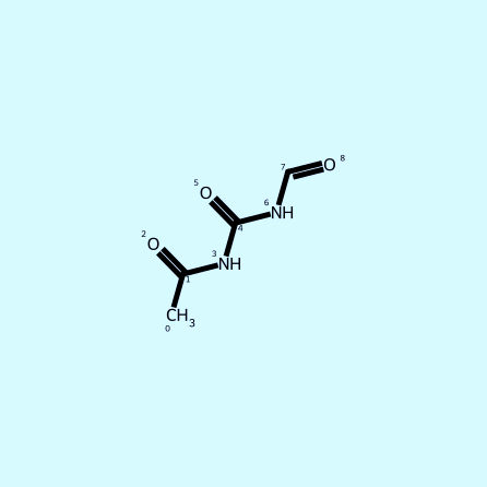 CC(=O)NC(=O)NC=O